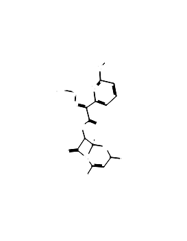 CCCCON=C(C(=O)NC1C(=O)N2C(C(=O)O)=CC(C)S[C@@H]12)c1cccc(NC=O)n1